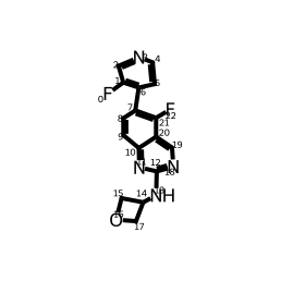 Fc1cnccc1-c1ccc2nc(NC3COC3)ncc2c1F